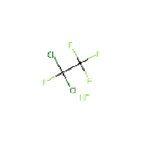 F.FC(F)(F)C(F)(Cl)Cl